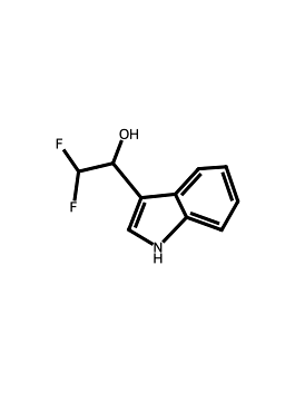 OC(c1c[nH]c2ccccc12)C(F)F